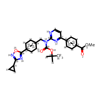 COC(=O)C12CCC(c3ccnc(N(CC45CCC(c6nc(C7CC7)no6)(CC4)CC5)C(=O)OC(C)(C)C(F)(F)F)n3)(CC1)CC2